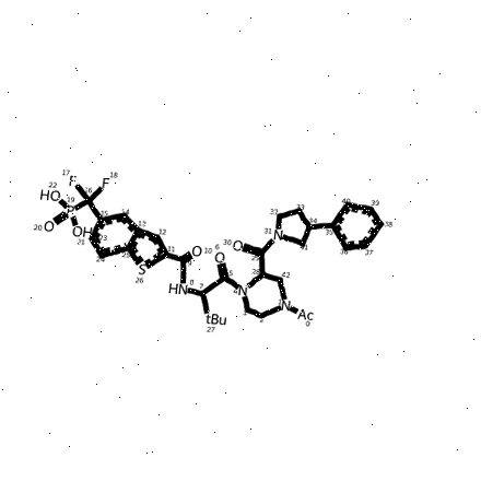 CC(=O)N1CCN(C(=O)C(NC(=O)c2cc3cc(C(F)(F)P(=O)(O)O)ccc3s2)C(C)(C)C)C(C(=O)N2CCC(c3ccccc3)C2)C1